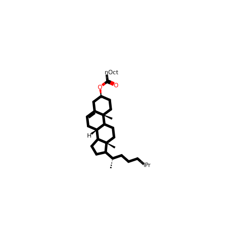 CCCCCCCCC(=O)O[C@H]1CC[C@@]2(C)C(=CC[C@H]3C4CCC([C@@H](C)CCCC(C)C)[C@@]4(C)CCC32)C1